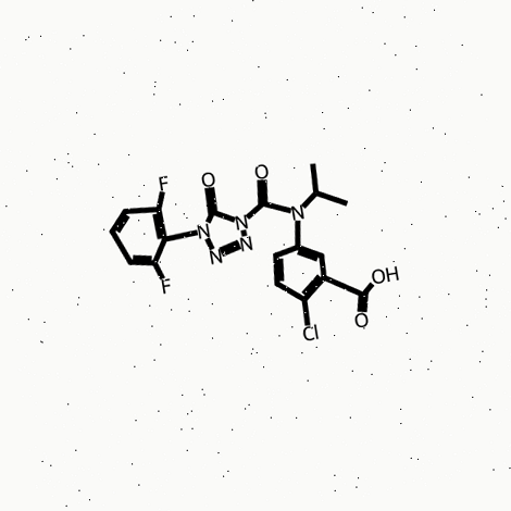 CC(C)N(C(=O)n1nnn(-c2c(F)cccc2F)c1=O)c1ccc(Cl)c(C(=O)O)c1